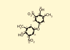 Cc1cc(Oc2cc(C)c(O)c([N+](=O)[O-])c2)cc([N+](=O)[O-])c1O